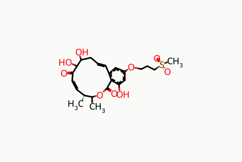 CC1OC(=O)c2c(O)cc(OCCCS(C)(=O)=O)cc2/C=C/CC(O)C(O)C(=O)/C=C\[C@H]1C